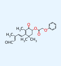 CC(C=CC1=C(C)C(=O)C(OC(=O)COc2ccccc2)CC1(C)C)=CC=O